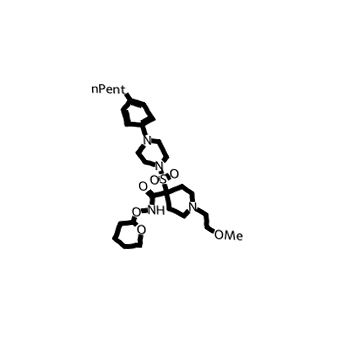 CCCCCc1ccc(N2CCN(S(=O)(=O)C3(C(=O)NOC4CCCCO4)CCN(CCOC)CC3)CC2)cc1